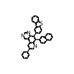 c1ccc(-c2cnc3c(-c4ccc5ccccc5c4)c(-c4ccc5sc6ccccc6c5c4)c4ncncc4c3c2)cc1